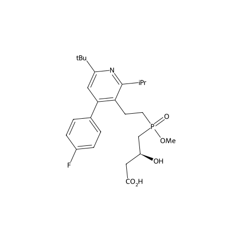 COP(=O)(CCc1c(-c2ccc(F)cc2)cc(C(C)(C)C)nc1C(C)C)C[C@@H](O)CC(=O)O